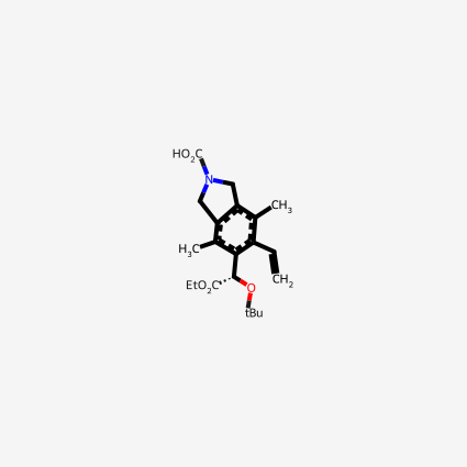 C=Cc1c(C)c2c(c(C)c1[C@H](OC(C)(C)C)C(=O)OCC)CN(C(=O)O)C2